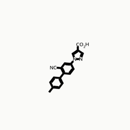 Cc1ccc(-c2ccc(-n3cc(C(=O)O)cn3)cc2C#N)cc1